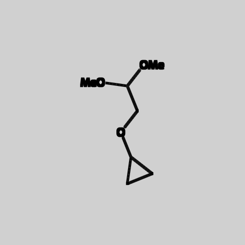 COC(COC1CC1)OC